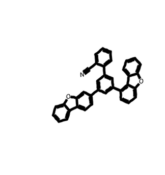 N#Cc1ccccc1-c1cc(-c2ccc3c(c2)oc2ccccc23)cc(-c2cccc3oc4ccccc4c23)c1